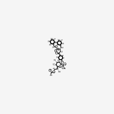 COC(=O)[C@@]1(Oc2ccc(C(=O)CN(Cc3ccccc3)C(=O)OCc3ccccc3)cc2)C[C@@H](C)[C@@H](C)C([C@H](C)COC(C)=O)O1